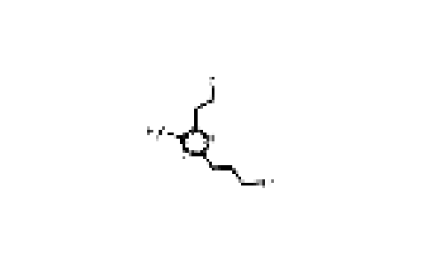 Cc1oc(/C=C/CC(C)C)nc1CCO